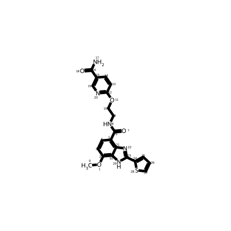 COc1ccc(C(=O)NCCOc2ccc(C(N)=O)cn2)c2nc(-c3cccs3)[nH]c12